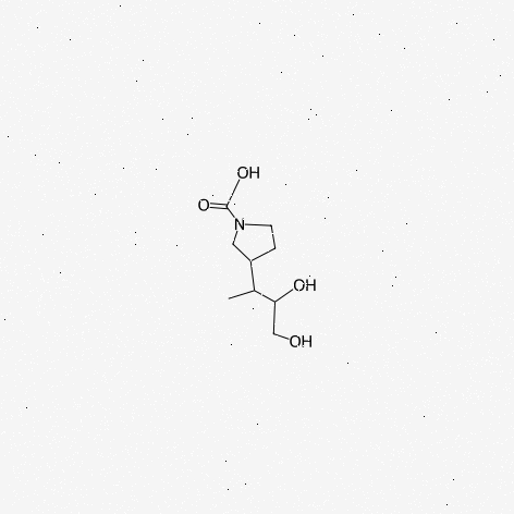 CC(C(O)CO)C1CCN(C(=O)O)C1